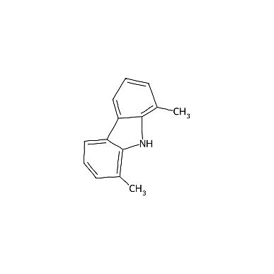 Cc1cccc2c1[nH]c1c(C)cccc12